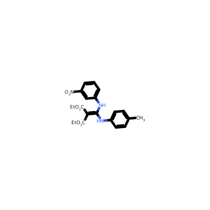 CCOC(=O)C(C(=O)OCC)=C(Nc1ccc(C)cc1)Nc1cccc([N+](=O)[O-])c1